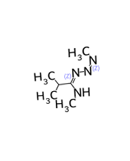 C/N=N\N=C(/NC)C(C)C